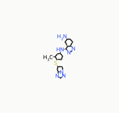 Cc1cc(Nc2ncnc3ccc(N)cc23)ccc1Sc1ccn2ncnc2c1